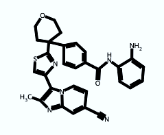 Cc1nc2cc(C#N)ccn2c1-c1csc(C2(c3ccc(C(=O)Nc4ccccc4N)cc3)CCOCC2)n1